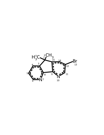 CC1(C)c2cccnc2-c2ncc(Br)cc21